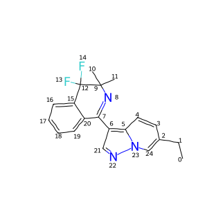 CCc1ccc2c(C3=NC(C)(C)C(F)(F)c4ccccc43)cnn2c1